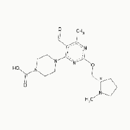 Cc1nc(OC[C@@H]2CCCN2C)nc(N2CCN(C(=O)O)CC2)c1C=O